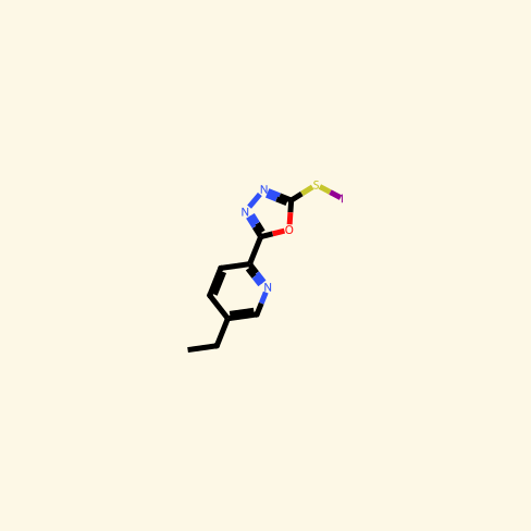 CCc1ccc(-c2nnc(SI)o2)nc1